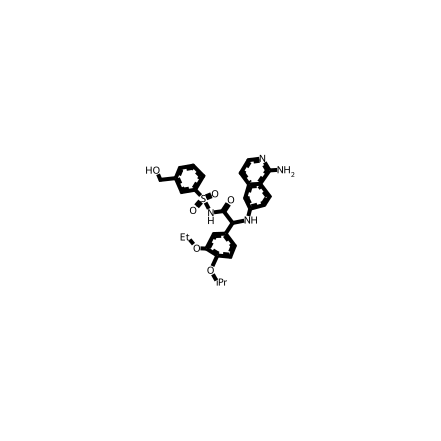 CCOc1cc(C(Nc2ccc3c(N)nccc3c2)C(=O)NS(=O)(=O)c2cccc(CO)c2)ccc1OC(C)C